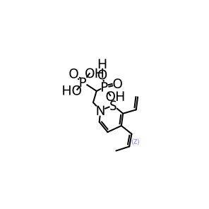 C=CC1=C(/C=C\C)C=CN(CC(P(=O)(O)O)P(=O)(O)O)S1